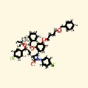 CC(C)(C)[Si](C)(C)O[C@@H](CC[C@H]1C(=O)N(c2ccc(F)cc2)[C@@H]1c1ccc(OCCCCOCc2ccccc2)cc1OCc1ccccc1)c1ccc(F)cc1